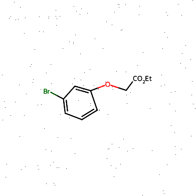 CCOC(=O)COc1[c]ccc(Br)c1